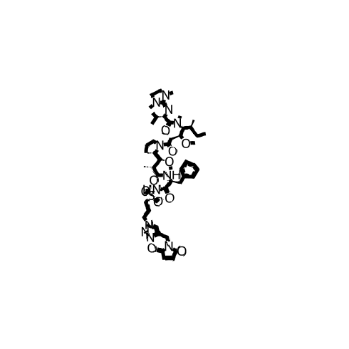 CC[C@H](C)[C@@H]([C@H](CC(=O)N1CCC[C@H]1[C@H](OC)[C@@H](C)C(=O)N[C@@H](Cc1ccccc1)C(=O)NS(=O)(=O)CCCn1cc(CN2C(=O)C=CC2=O)nn1)OC)N(C)C(=O)[C@@H](N=C1N(C)CCN1C)C(C)C